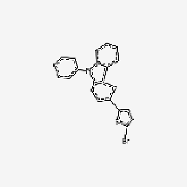 Brc1ccc(-c2ccc3c(c2)c2ccccc2n3-c2ccccc2)s1